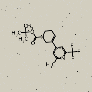 Cc1cc(C2=CCCN(C(=O)OC(C)(C)C)C2)cc(C(F)(F)F)n1